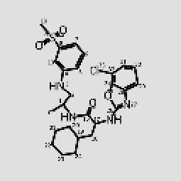 CC(CNc1cccc(S(C)(=O)=O)c1)NC(=O)C(CC1CCCCC1)Nc1nc2cccc(Cl)c2o1